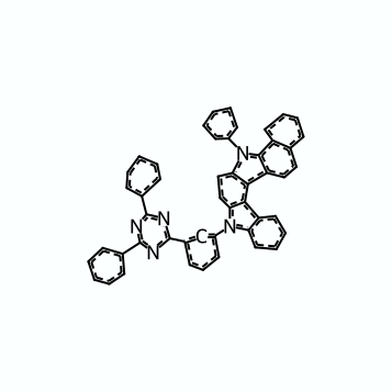 c1ccc(-c2nc(-c3ccccc3)nc(-c3cccc(-n4c5ccccc5c5c6c7ccc8ccccc8c7n(-c7ccccc7)c6ccc54)c3)n2)cc1